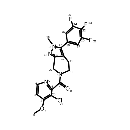 COc1ccnc(C(=O)N2CCc3c(nn(C)c3-c3cc(F)c(F)c(F)c3)C2)c1Cl